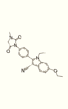 CCOc1ccc2c(C#N)c(-c3ccc(N4C(=O)CN(C)C4=O)cc3)n(CC)c2c1